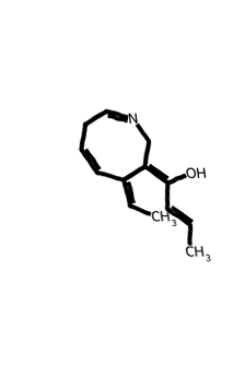 C/C=C1/C=C\C/C=N\C/C1=C(O)/C=C/C